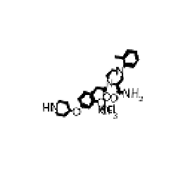 Cc1ccccc1N1CCN(C(=O)Cc2ccc(OC3CCNCC3)cc2OC(F)(F)F)C(C(N)=O)C1.Cl